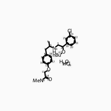 CCCCOC(CNC(C)Cc1ccc(OCC(=O)NC)cc1)c1cccc(Cl)c1.Cl.O